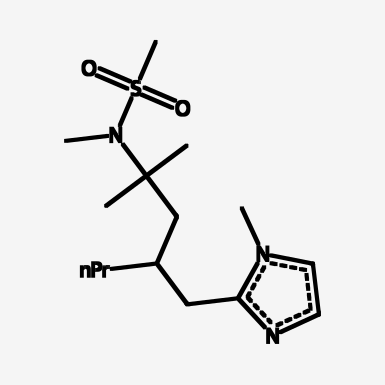 CCCC(Cc1nccn1C)CC(C)(C)N(C)S(C)(=O)=O